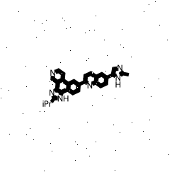 Cc1ncc(-c2ccc3nc(-c4ccc5c(c4)c4ccncc4c4nc(C(C)C)[nH]c54)ccc3c2)[nH]1